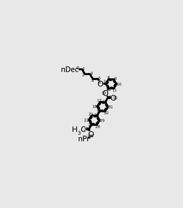 CCCCCCCCCCCCCCCOc1ccccc1OC(=O)c1ccc(-c2ccc(C(C)OCCC)cc2)cc1